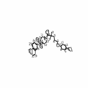 CC(C)(CCCOc1ccc(Cl)cc1)C(=O)N1CCN(S(=O)(=O)c2ccc3c(c2)CCO3)CC1